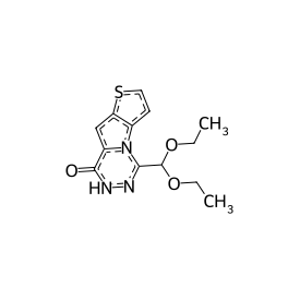 CCOC(OCC)c1n[nH]c(=O)c2cc3sccc3n12